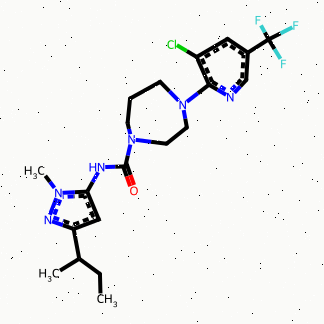 CCC(C)c1cc(NC(=O)N2CCCN(c3ncc(C(F)(F)F)cc3Cl)CC2)n(C)n1